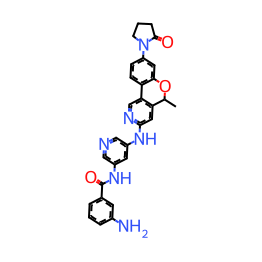 CC1Oc2cc(N3CCCC3=O)ccc2-c2cnc(Nc3cncc(NC(=O)c4cccc(N)c4)c3)cc21